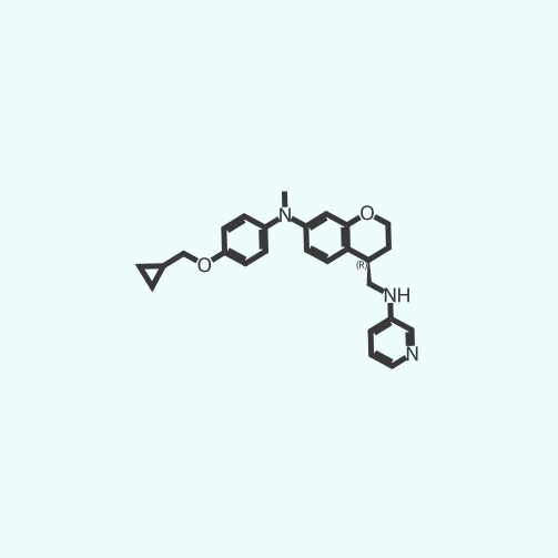 CN(c1ccc(OCC2CC2)cc1)c1ccc2c(c1)OCC[C@H]2CNc1cccnc1